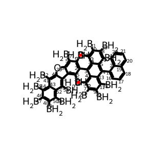 Bc1c(-c2c3c(B)c(B)c(B)c(B)c3c(-c3cccc4ccccc34)c3c(B)c(B)c(B)c(B)c23)c(B)c2c(oc3c(B)c4c(B)c(B)c(B)c(B)c4c(B)c32)c1B